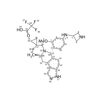 COc1cc(NC2CNC2)ccc1[C@@H]1c2ccc3[nH]ncc3c2C[C@@H](C)N1CC1(F)CC1.O=C(O)C(F)(F)F